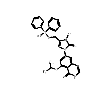 CCn1c(CO[Si](c2ccccc2)(c2ccccc2)C(C)(C)C)nn(-c2cc(OC(C)C(F)(F)F)c3c(=O)[nH]cnc3c2)c1=O